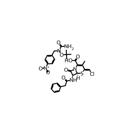 CC(C)(C)ON(Cc1ccc([N+](=O)[O-])cc1)C(N)=O.CC1=C(C(=O)O)N2C(=O)[C@H](NC(=O)Cc3ccccc3)[C@@H]2SC1=CCl